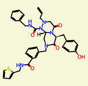 C=CCN1CC(=O)N2[C@@H](Cc3ccc(O)cc3)C(=O)N(Cc3cccc(C(=O)NCc4cccs4)c3)C[C@@H]2N1C(=O)NCc1ccccc1